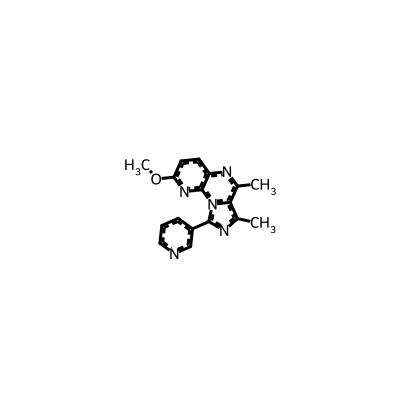 COc1ccc2nc(C)c3c(C)nc(-c4cccnc4)n3c2n1